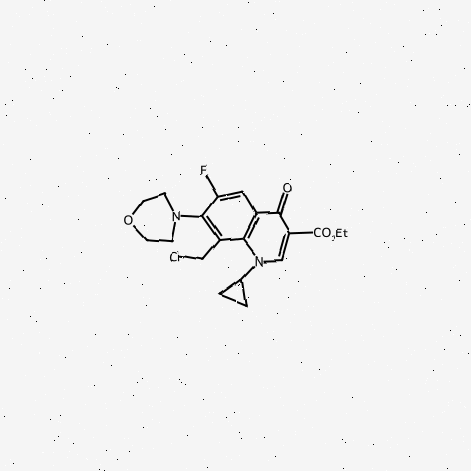 CCOC(=O)c1cn(C2CC2)c2c(CCl)c(N3CCOCC3)c(F)cc2c1=O